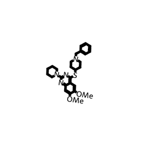 COc1cc2nc(N3CCCCC3)nc(SC3CCN(Cc4ccccc4)CC3)c2cc1OC